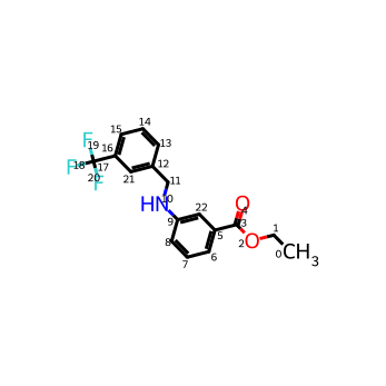 CCOC(=O)c1cccc(NCc2cccc(C(F)(F)F)c2)c1